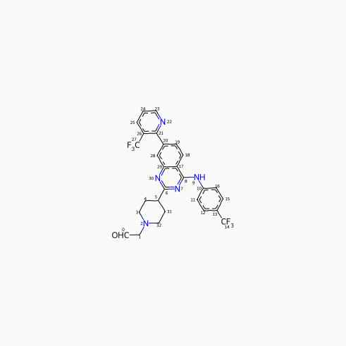 O=CCN1CCC(c2nc(Nc3ccc(C(F)(F)F)cc3)c3ccc(-c4ncccc4C(F)(F)F)cc3n2)CC1